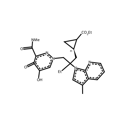 CCOC(=O)C1C[C@@H]1CC(CC)(Cn1cc(O)c(=O)c(C(=O)NC)n1)n1cc(C)c2cccnc21